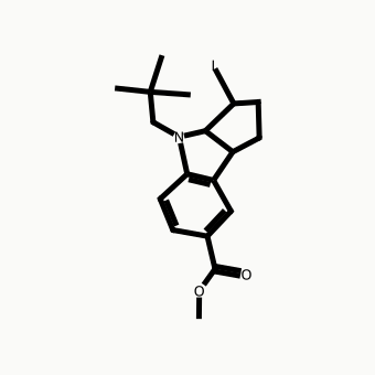 COC(=O)c1ccc2c(c1)C1CCC(I)C1N2CC(C)(C)C